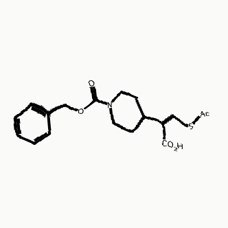 CC(=O)SCC(C(=O)O)C1CCN(C(=O)OCc2ccccc2)CC1